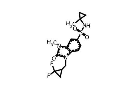 Cn1c(=O)n(CC2CC2(F)F)c2ccc(S(=O)(=O)NC3(C)CC3)cc21